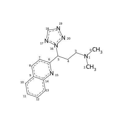 CN(C)CCC(c1ccc2ccccc2n1)n1ncnn1